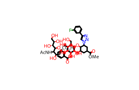 COC(=O)C1CC(OC2OC(CO)C(O)C(OC3(C(=O)O)CC(O)C(NC(C)=O)C([C@H](O)[C@H](O)CO)O3)C2OC(=O)c2ccccc2)C(OC2OC(C)C(O)C(O)C2O)C(n2cc(-c3cccc(F)c3)nn2)C1